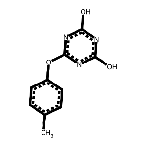 Cc1ccc(Oc2nc(O)nc(O)n2)cc1